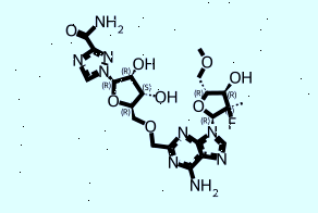 COC[C@H]1O[C@@H](n2cnc3c(N)nc(COC[C@H]4O[C@@H](n5cnc(C(N)=O)n5)[C@H](O)[C@@H]4O)nc32)[C@](C)(F)[C@@H]1O